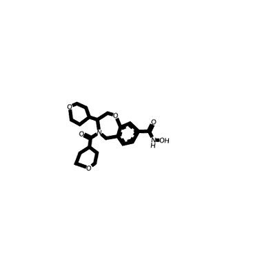 O=C(NO)c1ccc2c(c1)OCC(C1CCOCC1)N(C(=O)C1CCOCC1)C2